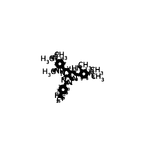 CNc1cc(N(C)C)ccc1C1=CC2=CC(c3ccc(N(C)C)cc3NC)=NC3=NC(c4ccc(C(F)(F)F)cc4)=NC(=N1)C23